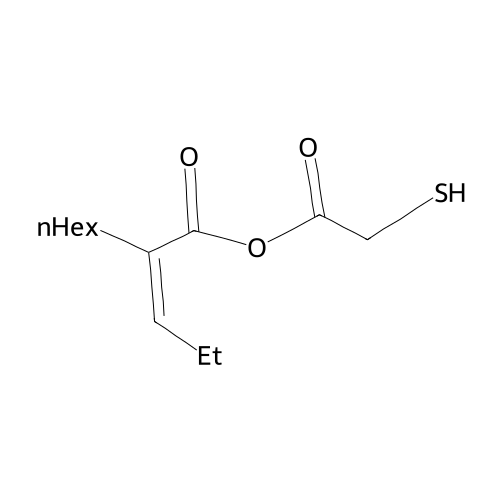 CCC=C(CCCCCC)C(=O)OC(=O)CS